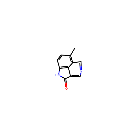 Cc1ccc2c3c(cncc13)C(=O)N2